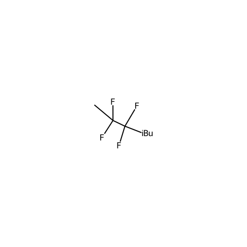 CCC(C)C(F)(F)C(C)(F)F